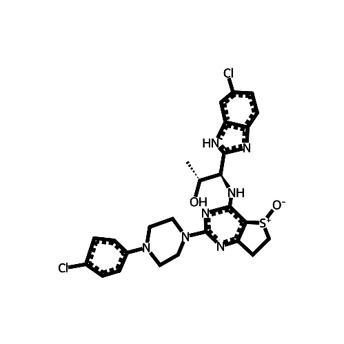 C[C@@H](O)[C@H](Nc1nc(N2CCN(c3ccc(Cl)cc3)CC2)nc2c1[S+]([O-])CC2)c1nc2ccc(Cl)cc2[nH]1